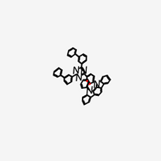 c1ccc(-c2cccc(-c3nc(-c4ccc(-n5c6ccccc6c6ccc7c8ccccc8n(-c8ccccc8)c7c65)cc4)nc(-c4cccc(-c5ccccc5)c4)n3)c2)cc1